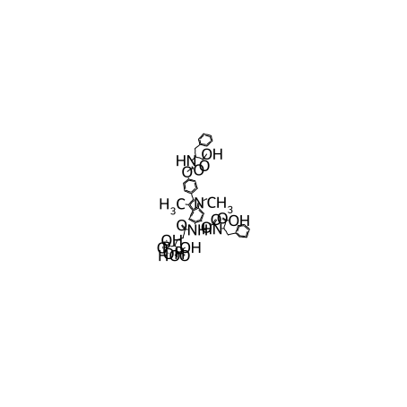 CCn1c(-c2ccc(OC(=O)NC(Cc3ccccc3)C(=O)O)cc2)c(C)c2cc(NC(=O)CCC(P(=O)(O)O)P(=O)(O)O)c(OC(=O)NC(Cc3ccccc3)C(=O)O)cc21